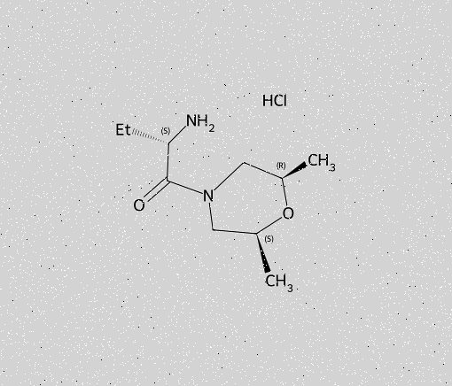 CC[C@H](N)C(=O)N1C[C@@H](C)O[C@@H](C)C1.Cl